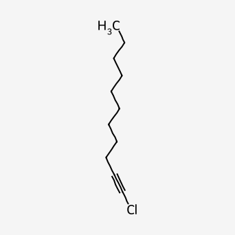 CCCCCCCCCC#CCl